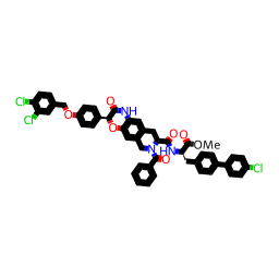 COC(=O)[C@H](Cc1ccc(-c2ccc(Cl)cc2)cc1)NC(=O)C1Cc2cc3c(cc2CN1C(=O)c1ccccc1)O[C@@H](c1ccc(OCc2ccc(Cl)c(Cl)c2)cc1)C(=O)N3